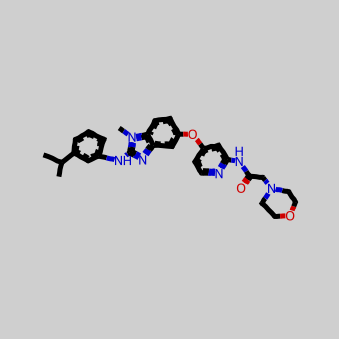 CC(C)c1cccc(Nc2nc3cc(Oc4ccnc(NC(=O)CN5CCOCC5)c4)ccc3n2C)c1